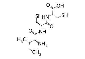 CC[C@H](C)[C@H](N)C(=O)N[C@@H](CS)C(=O)N[C@@H](CS)C(=O)O